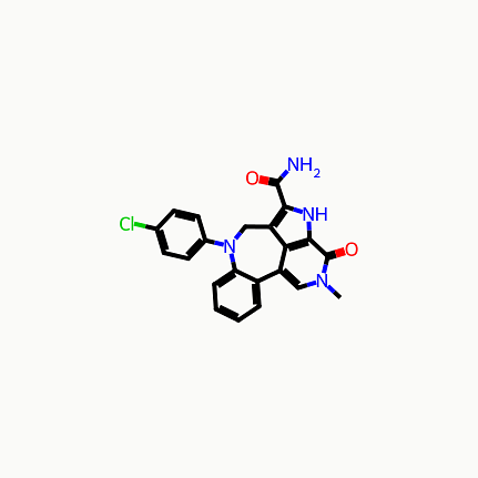 Cn1cc2c3c(c(C(N)=O)[nH]c3c1=O)CN(c1ccc(Cl)cc1)c1ccccc1-2